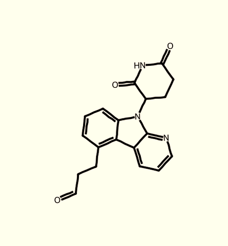 O=CCCc1cccc2c1c1cccnc1n2C1CCC(=O)NC1=O